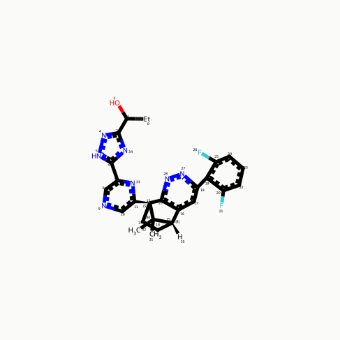 CCC(O)c1n[nH]c(-c2cncc([C@@]34CC[C@@H](c5cc(-c6c(F)cccc6F)nnc53)C4(C)C)n2)n1